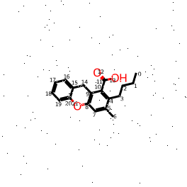 CCCCc1c(C)cc2c(c1C(=O)O)Cc1ccccc1O2